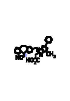 Cc1cc(-c2ccccc2)cc2c1nc(CCC(=O)O)n2Cc1ccc2c(c1)CCc1ccccc1/C2=C\C#N